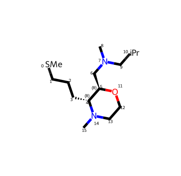 CSCCC[C@@H]1[C@@H](CN(C)CC(C)C)OCCN1C